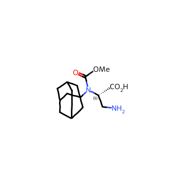 COC(=O)N([C@@H](CN)C(=O)O)C12CC3CC(CC(C3)C1)C2